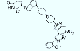 Cc1nn(C2CCN([C@H]3CC[C@H](c4cccc5c4CCN5[C@H]4CCC(=O)NC4=O)CC3)CC2)cc1-c1cc(-c2ccccc2O)nnc1N